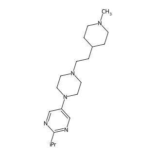 CC(C)c1ncc(N2CCN(CCC3CCN(C)CC3)CC2)cn1